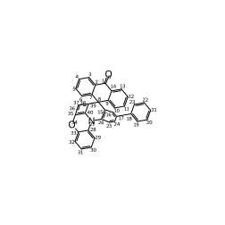 O=C1c2ccccc2C2(c3ccccc31)c1cc(-c3ccccc3)ccc1N1c3ccccc3Oc3cccc2c31